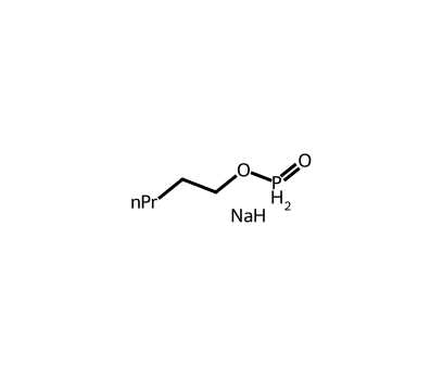 CCCCCO[PH2]=O.[NaH]